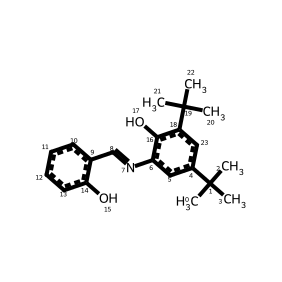 CC(C)(C)c1cc(/N=C/c2ccccc2O)c(O)c(C(C)(C)C)c1